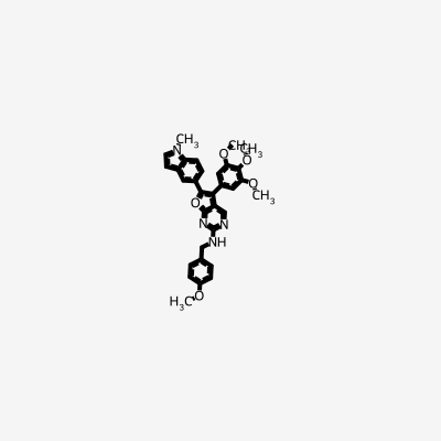 COc1ccc(CNc2ncc3c(-c4cc(OC)c(OC)c(OC)c4)c(-c4ccc5c(ccn5C)c4)oc3n2)cc1